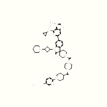 CCCC(C)c1ccc(N2CCC(C(=O)N3CCN(C(=O)N4CCC5(CC4)C(=O)N(C4CC(N6CCCCC6)C4)c4cc(-c6cc7ncn(C(C)C)c7c(NC7CC7)n6)ccc45)CC3)CC2)nc1